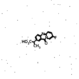 CC(C(=O)O)c1ccc2nc3ccc(F)cn3c(=O)c2c1